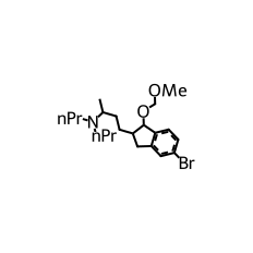 CCCN(CCC)C(C)CCC1Cc2cc(Br)ccc2C1OCOC